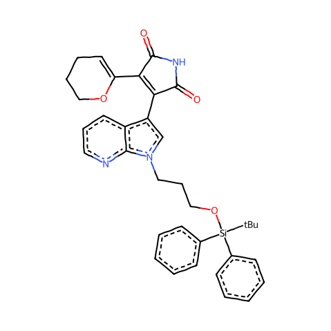 CC(C)(C)[Si](OCCCn1cc(C2=C(C3=CCCCO3)C(=O)NC2=O)c2cccnc21)(c1ccccc1)c1ccccc1